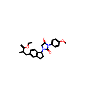 C=C(OCC)C(C)Cc1ccc2c(c1)CCC2N1CC(=O)N(c2ccc(OC)cc2)C1=O